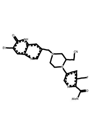 CCc1cc2ncc(CN3CCN(c4cnc(C(=O)NC)c(F)c4)C(CC#N)C3)cc2[nH]c1=O